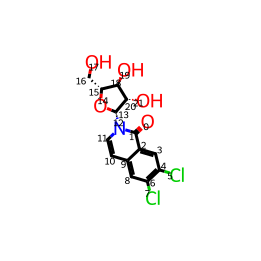 O=c1c2cc(Cl)c(Cl)cc2ccn1[C@@H]1O[C@H](CO)[C@@H](O)[C@@H]1O